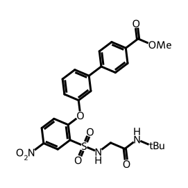 COC(=O)c1ccc(-c2cccc(Oc3ccc([N+](=O)[O-])cc3S(=O)(=O)NCC(=O)NC(C)(C)C)c2)cc1